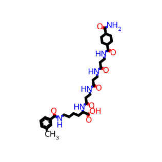 Cc1cccc(C(=O)NCCCCC(NC(=O)CCNC(=O)CCNC(=O)CCNC(=O)C2CCC(C(N)=O)CC2)C(=O)O)c1